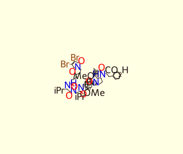 CC[C@H](C)[C@@H]([C@@H](CC(=O)N1CCCC1[C@H](OC)[C@@H](C)C(=O)NC(Cc1ccccc1)C(=O)O)OC)N(C)C(=O)C(NC(=O)C(C(C)C)N(C)C(=O)CCCCCN1C(=O)C(Br)=C(Br)C1=O)C(C)C